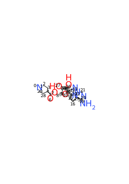 CN1CCC(C(=O)OC[C@H]2O[C@@](C#N)(c3ccc4c(N)ncnn34)[C@H](O)[C@@H]2O)CC1